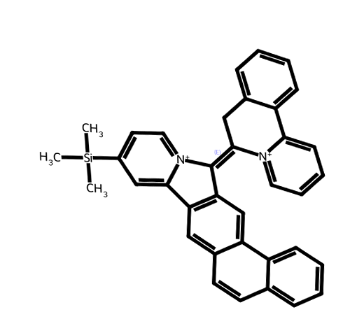 C[Si](C)(C)c1cc[n+]2c(c1)-c1cc3ccc4ccccc4c3cc1/C2=C1/Cc2ccccc2-c2cccc[n+]21